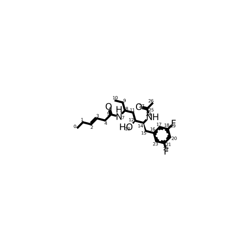 CC/C=C/CC(=O)NC(CC)C[C@H](O)[C@H](Cc1cc(F)cc(F)c1)NC(C)=O